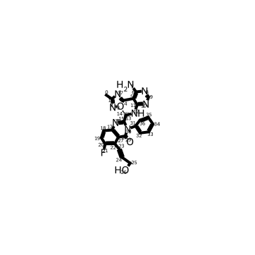 Cc1noc(-c2c(N)ncnc2N[C@@H](C)c2nc3ccc(F)c(C#CCO)c3c(=O)n2-c2ccccc2)n1